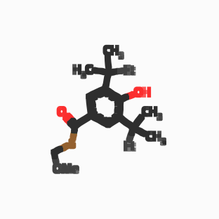 CCC(C)(C)c1cc(C(=O)SCOC)cc(C(C)(C)CC)c1O